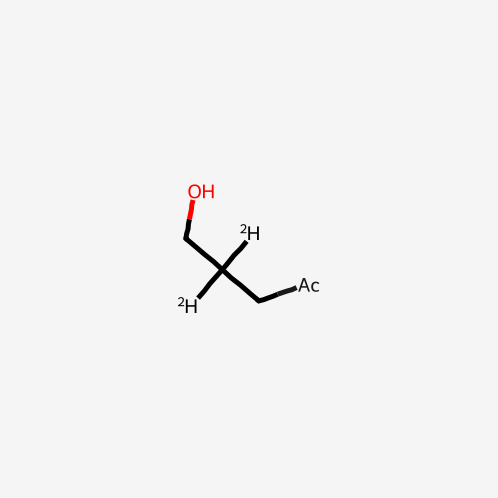 [2H]C([2H])(CO)CC(C)=O